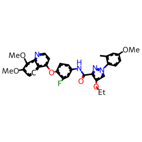 CCOc1cn(-c2ccc(OC)cc2C)nc1C(=O)Nc1ccc(Oc2ccnc3c(OC)c(OC)ccc23)c(F)c1